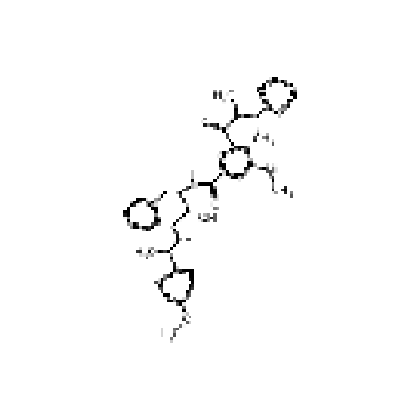 CNc1cc(C(=O)N[C@@H](Cc2ccccc2)[C@H](O)CN[C@H](C)c2ccc(OC)cc2)cc(C(=O)N(C)[C@@H](C)c2ccccc2)c1